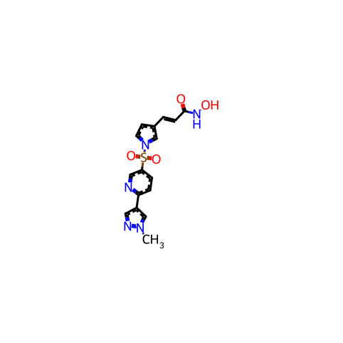 Cn1cc(-c2ccc(S(=O)(=O)n3ccc(C=CC(=O)NO)c3)cn2)cn1